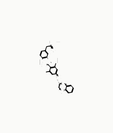 Cc1cc(OC[C@@H]2COc3ccccc3O2)cc(C)c1C(=O)Nc1cc(CC(=O)O)ccc1F